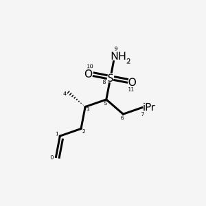 C=CC[C@H](C)C(CC(C)C)S(N)(=O)=O